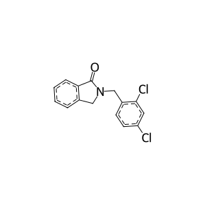 O=C1c2ccccc2CN1Cc1ccc(Cl)cc1Cl